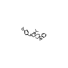 COc1ccc(CN2CN(C(C)C)[C@]3(CC[C@](c4ccccc4)(N(C)C)CC3)C2)cc1